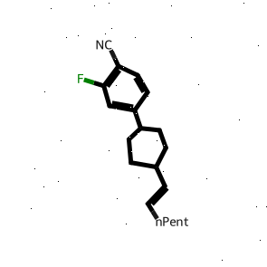 CCCCCC=CC1CCC(c2ccc(C#N)c(F)c2)CC1